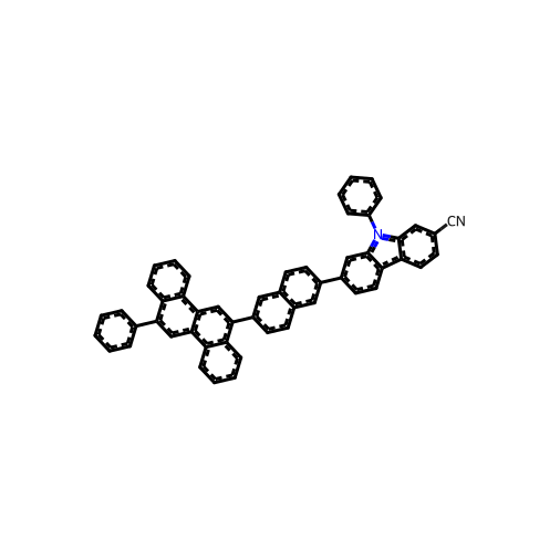 N#Cc1ccc2c3ccc(-c4ccc5cc(-c6cc7c8ccccc8c(-c8ccccc8)cc7c7ccccc67)ccc5c4)cc3n(-c3ccccc3)c2c1